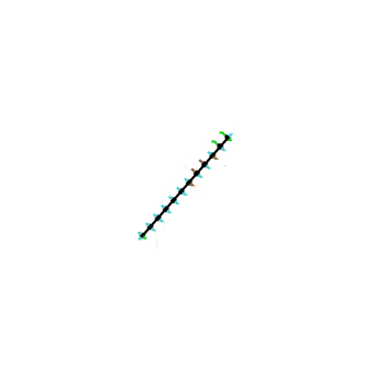 FC(F)(Cl)C(F)(F)C(F)(F)C(F)(F)C(F)(F)C(F)(F)C(F)(Br)C(F)(Br)C(F)(Br)C(F)(Br)C(F)(Cl)C(F)(Cl)Cl